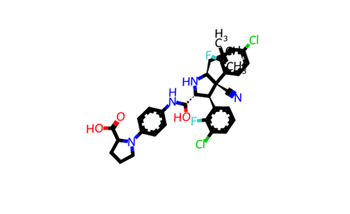 CC(C)(C)C[C@@H]1N[C@@H](C(O)Nc2ccc(N3CCCC3C(=O)O)cc2)[C@H](c2cccc(Cl)c2F)[C@@]1(C#N)c1ccc(Cl)cc1F